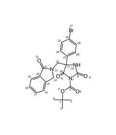 CC(C)(C)OC(=O)N1C(=O)NC(CN2Cc3ccccc3C2=O)(c2ccc(Br)cc2)C1=O